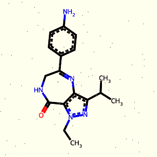 CCn1nc(C(C)C)c2c1C(=O)NCC(c1ccc(N)cc1)=N2